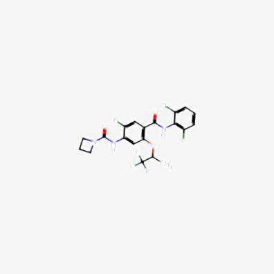 CC(Oc1cc(NC(=O)N2CCC2)c(F)cc1C(=O)Nc1c(F)cccc1Cl)C(F)(F)F